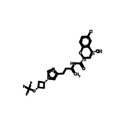 C=C(CCc1cn([C@H]2C[C@@H](OC(F)(F)F)C2)cn1)NC(=O)[C@H]1C[C@@H](O)c2cc(Cl)ccc2O1